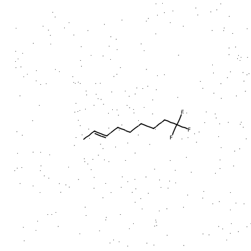 CC=CCCCCCC(F)(F)F